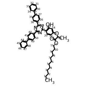 CCCCCCCCCCCCOC(=O)C(C)Oc1ccc(-c2nc(-c3ccc(-c4ccccc4)cc3)nc(-c3ccc(-c4ccccc4)cc3)n2)c(O)c1